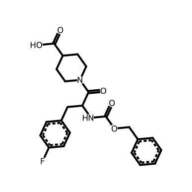 O=C(NC(Cc1ccc(F)cc1)C(=O)N1CCC(C(=O)O)CC1)OCc1ccccc1